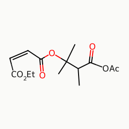 CCOC(=O)/C=C\C(=O)OC(C)(C)C(C)C(=O)OC(C)=O